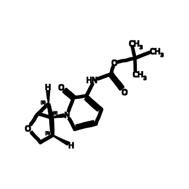 CC(C)(C)OC(=O)Nc1cccn([C@]23C4OC[C@@H]2[C@H]43)c1=O